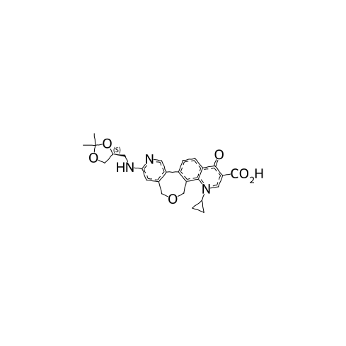 CC1(C)OC[C@H](CNc2cc3c(cn2)-c2ccc4c(=O)c(C(=O)O)cn(C5CC5)c4c2COC3)O1